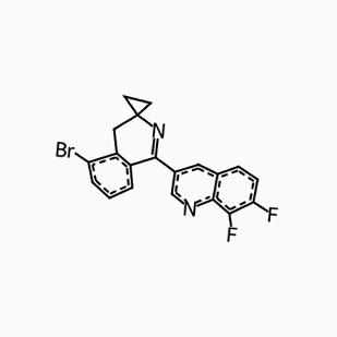 Fc1ccc2cc(C3=NC4(CC4)Cc4c(Br)cccc43)cnc2c1F